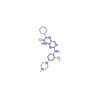 COc1cc(N2CCN(C)CC2)ccc1Nc1ncc2nc(C3CCCCC3)c(=O)[nH]c2n1